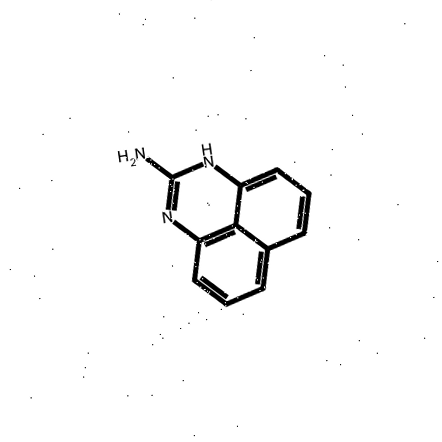 NC1=Nc2cccc3cccc(c23)N1